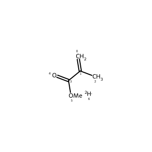 C=C(C)C(=O)OC.[2H]